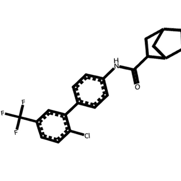 O=C(Nc1ccc(-c2cc(C(F)(F)F)ccc2Cl)cc1)C1CC2CCC1C2